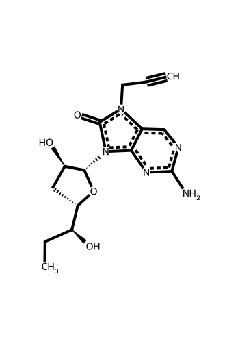 C#CCn1c(=O)n([C@@H]2O[C@H]([C@@H](O)CC)C[C@H]2O)c2nc(N)ncc21